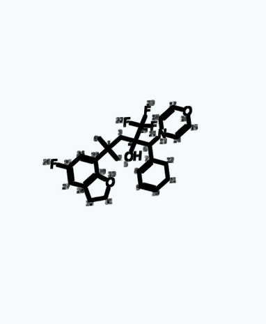 CC(C)(CC(O)(C(C1=CC=CCC1)N1C=COC=C1)C(F)(F)F)c1cc(F)cc2c1OCC2